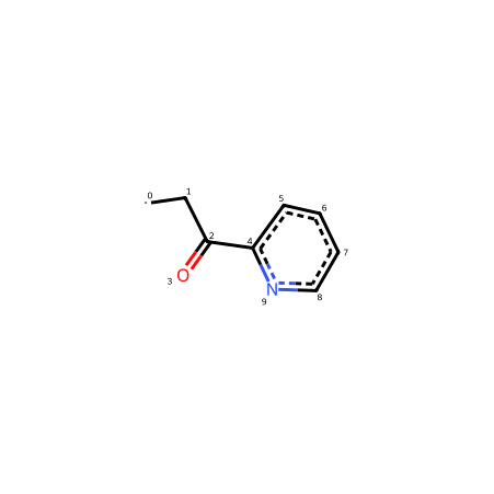 [CH2]CC(=O)c1ccccn1